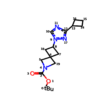 CC(C)(C)OC(=O)N1CC2(CC(n3cnc(C4CCC4)n3)C2)C1